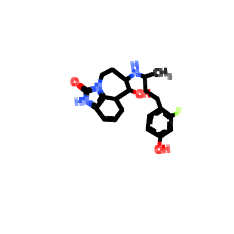 CC(CCc1ccc(O)cc1F)NC1CCn2c3c([nH]c2=O)C=CCC3C1O